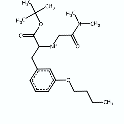 CCCCOc1cccc(CC(NCC(=O)N(C)C)C(=O)OC(C)(C)C)c1